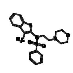 Cc1c(N(CCN2CCOCC2)S(=O)(=O)c2ccccc2)sc2ccccc12